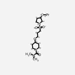 CC(C)OC1CCN(S(=O)(=O)CCCOC2CCN(C(=O)N(C)C)CC2)C1